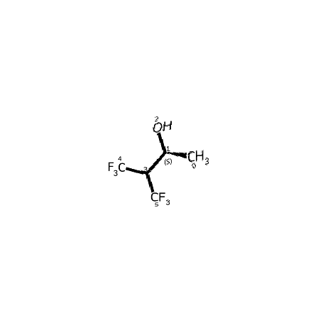 C[C@H](O)C(C(F)(F)F)C(F)(F)F